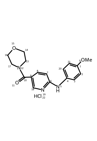 COc1ccc(Nc2ccc(C(=O)N3CCOCC3)cn2)cc1.Cl